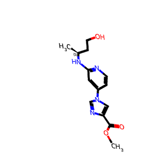 COC(=O)c1cn(-c2ccnc(N[C@@H](C)CCO)c2)cn1